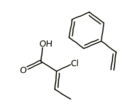 C=Cc1ccccc1.CC=C(Cl)C(=O)O